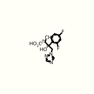 C[C@@H](C(=O)O)[C@](O)(Cn1cncn1)c1ccc(F)cc1F